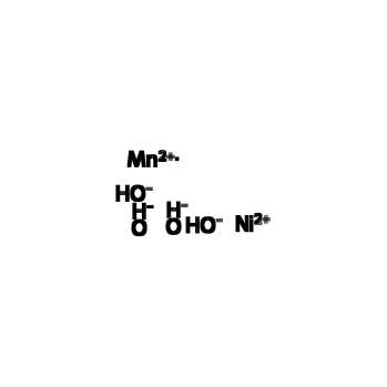 [Mn+2].[Ni+2].[OH-].[OH-].[OH-].[OH-]